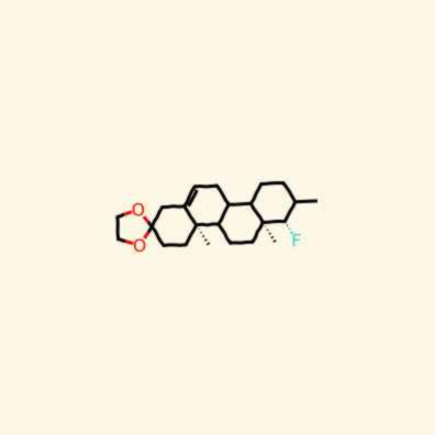 CC1CCC2C3CC=C4CC5(CC[C@]4(C)C3CC[C@]2(C)[C@H]1F)OCCO5